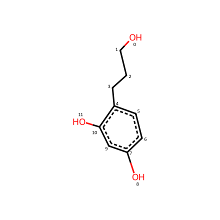 OCCCc1ccc(O)cc1O